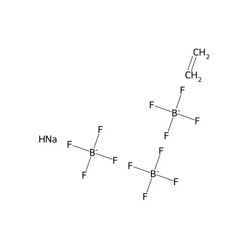 C=C.F[B-](F)(F)F.F[B-](F)(F)F.F[B-](F)(F)F.[NaH]